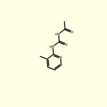 CC(=O)NC(=O)Nc1ncccc1C